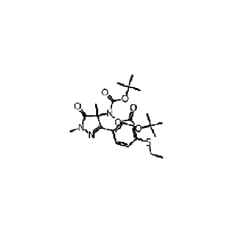 CCSc1ccc(C2=NN(C)C(=O)C2(C)N(OC(=O)OC(C)(C)C)C(=O)OC(C)(C)C)cc1